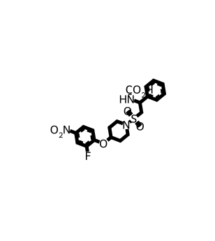 O=C(O)NC(CS(=O)(=O)N1CCC(Oc2ccc([N+](=O)[O-])cc2F)CC1)c1ccccc1